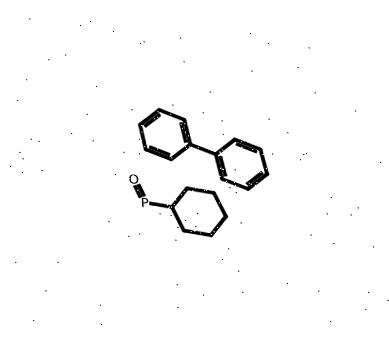 O=PC1CCCCC1.c1ccc(-c2ccccc2)cc1